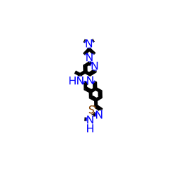 CNc1ncc(-c2ccc3cnc(NC(C)c4ccnc(N5CC(N(C)C)C5)c4)cc3c2)s1